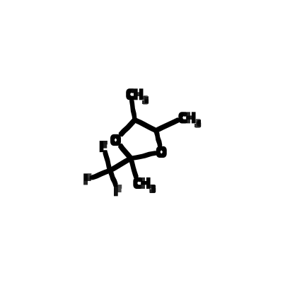 CC1OC(C)(C(F)(F)F)OC1C